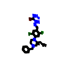 CC(C)C[C@H]1CN(Cc2ccccc2)CCN1c1cc(F)c(C=NNC(N)=S)cc1F